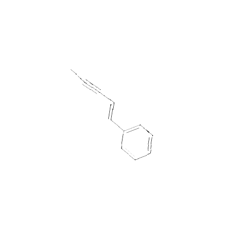 [CH2]C#C/C=C/c1ccccc1